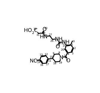 Cc1ccc(C(=O)N2CCC(c3ccc(C#N)cc3)CC2)cc1NC(=O)NCCNC(=O)CC(=O)O